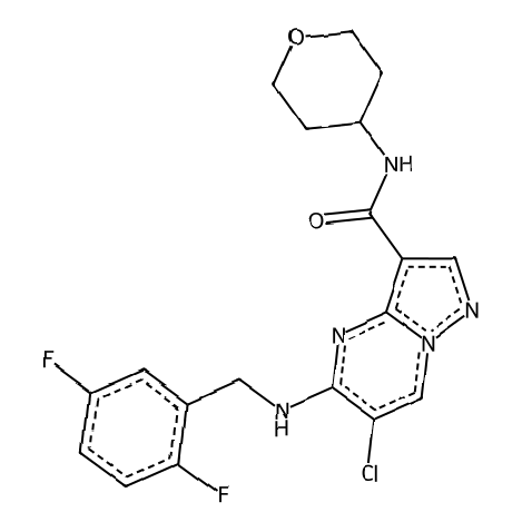 O=C(NC1CCOCC1)c1cnn2cc(Cl)c(NCc3cc(F)ccc3F)nc12